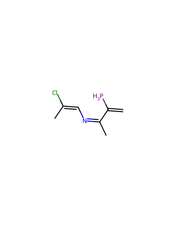 C=C(P)/C(C)=N\C=C(/C)Cl